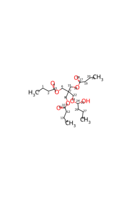 CCCC(=O)OCC(COC(=O)CCC)(COC(=O)CCC)COC(O)CCC